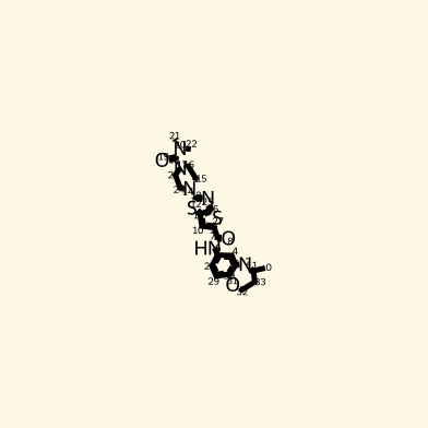 CC1=Nc2cc(NC(=O)c3cc4sc(N5CCN(C(=O)N(C)C)CC5)nc4s3)ccc2OCC1